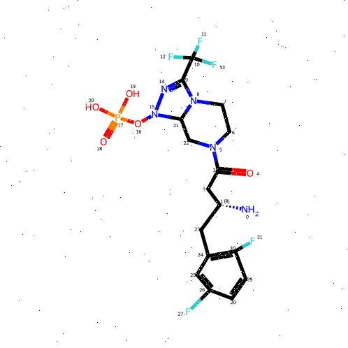 N[C@@H](CC(=O)N1CCN2C(C(F)(F)F)=NN(OP(=O)(O)O)C2C1)Cc1cc(F)ccc1F